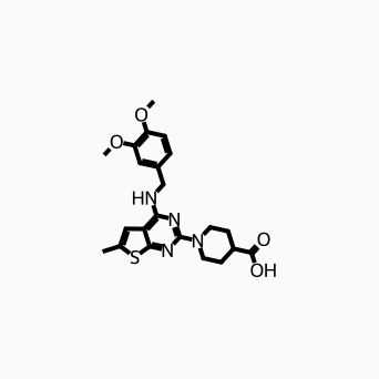 COc1ccc(CNc2nc(N3CCC(C(=O)O)CC3)nc3sc(C)cc23)cc1OC